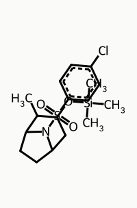 CC1C(O[Si](C)(C)C)CC2CCC1N2S(=O)(=O)c1ccc(Cl)cc1